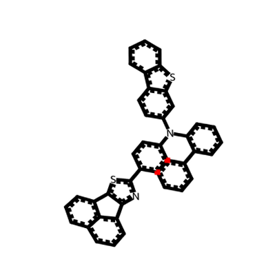 c1ccc(-c2ccccc2N(c2ccc(-c3nc4c(s3)-c3cccc5cccc-4c35)cc2)c2ccc3c(c2)sc2ccccc23)cc1